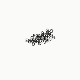 CCOC(=O)[C@]12N3Cn4c(=O)c5ccccc5c(=O)n4CN1C(=O)N1CN4C(=O)N5Cn6c(=O)c7ccccc7c(=O)n6CN6C(=O)N(CN(C3=O)[C@]12C(=O)OCC)[C@]4(C(=O)OCC)[C@@]56C(=O)OCC